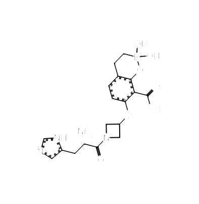 N[C@@H](Cc1cnc[nH]1)C(=O)N1CC(Oc2ccc3c(c2C(=O)O)O[B-](O)(O)CC3)C1